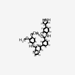 COc1ccc(Nc2nc(-c3cccc(C(=O)Nc4ccc(-c5cn[nH]c5)cc4C)c3)cn3ccnc23)cc1OC